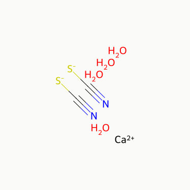 N#C[S-].N#C[S-].O.O.O.O.[Ca+2]